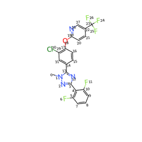 Cn1nc(-c2c(F)cccc2F)nc1-c1ccc(Oc2ccc(C(F)(F)F)cn2)c(Cl)c1